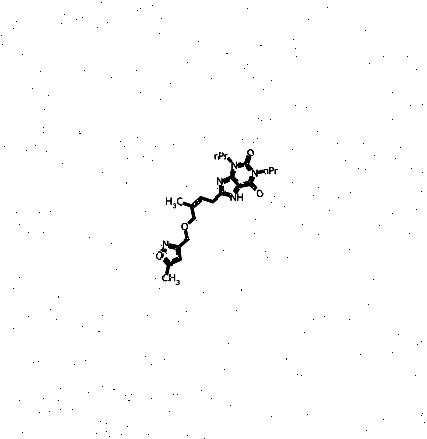 CCCn1c(=O)c2[nH]c(CC=C(C)COCc3cc(C)on3)nc2n(CCC)c1=O